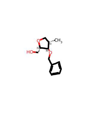 C[C@H]1CO[C@@H](CO)[C@@H]1OCc1ccccc1